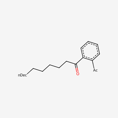 CCCCCCCCCCCCCCCC(=O)c1ccccc1C(C)=O